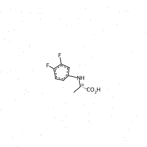 C[C@H](Nc1ccc(F)c(F)c1)C(=O)O